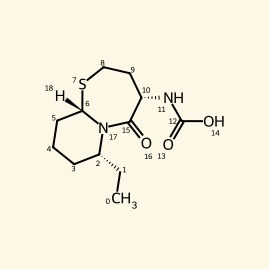 CC[C@@H]1CCC[C@@H]2SCC[C@H](NC(=O)O)C(=O)N12